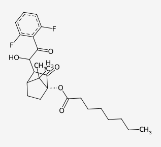 CCCCCCCC(=O)O[C@@]12CCC(C(C(O)C(=O)c3c(F)cccc3F)C1=O)C2(C)C